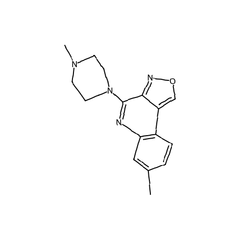 Cc1ccc2c(c1)nc(N1CCN(C)CC1)c1nocc12